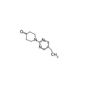 CCc1cnc(N2CCC(=O)CC2)nc1